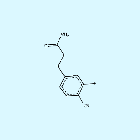 N#Cc1ccc([CH]CC(N)=O)cc1F